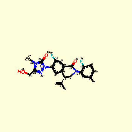 C=C(C)[C@@H]1CN(c2cc(C)ccc2F)C(=O)c2cc(F)c(-n3nc(CO)n(CC)c3=O)cc21